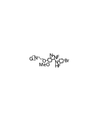 COc1cc2c(Nc3c(F)cc(Br)cc3F)ncnc2cc1OCCCN1CCOCC1